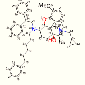 COc1ccc2c3c1OC1C(N(CCCCCCc4ccccc4)CC(c4ccccc4)c4ccccc4)CC[C@@]4(O)[C@@H](C2)N(CC2CC2)CC[C@]314